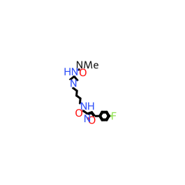 CNC(=O)NC1CN(CCCCCNC(=O)c2cc(-c3ccc(F)cc3)on2)C1